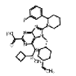 C=C[C@H]1CC[C@H](Cn2c(N3CCCCC3c3cccc(F)c3)nc3nc(C(=O)O)nc(N[C@H](C)C4CCC4)c32)CC1